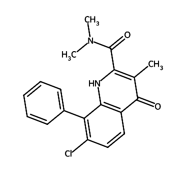 Cc1c(C(=O)N(C)C)[nH]c2c(-c3ccccc3)c(Cl)ccc2c1=O